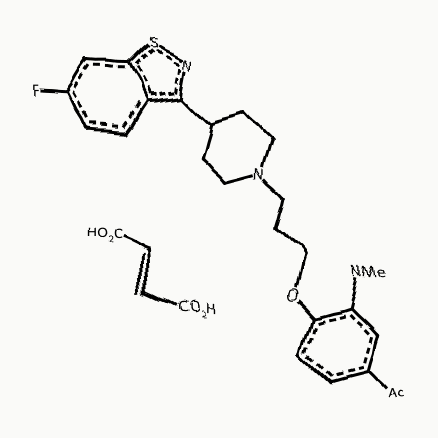 CNc1cc(C(C)=O)ccc1OCCCN1CCC(c2nsc3cc(F)ccc23)CC1.O=C(O)C=CC(=O)O